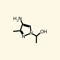 Cc1nn(C(C)O)cc1N